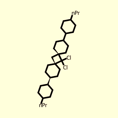 CCCC1CCC(C2CC[C@]3(CC2)C[C@@]2(CC[C@H](C4CCC(CCC)CC4)CC2)C3(Cl)Cl)CC1